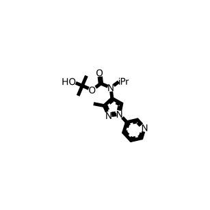 Cc1nn(-c2cccnc2)cc1N(C(=O)OC(C)(C)O)C(C)C